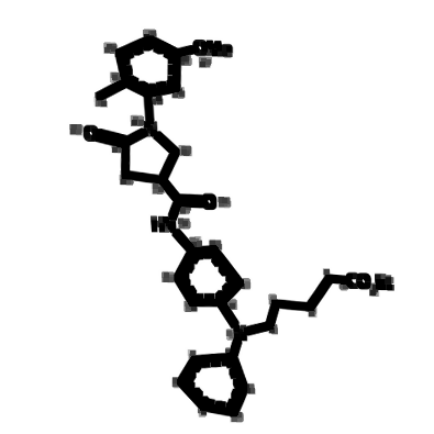 CCOC(=O)CCCCN(c1ccccc1)c1ccc(NC(=O)C2CC(=O)N(c3cc(OC)ccc3C)C2)cc1